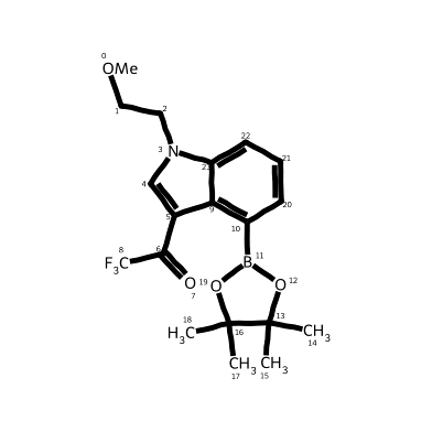 COCCn1cc(C(=O)C(F)(F)F)c2c(B3OC(C)(C)C(C)(C)O3)cccc21